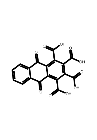 O=C(O)c1c(C(=O)O)c(C(=O)O)c2c(c1C(=O)O)C(=O)c1ccccc1C2=O